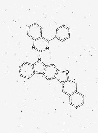 c1ccc(-c2nc(-n3c4ccccc4c4cc5c(cc43)oc3cc4ccccc4cc35)nc3ccccc23)cc1